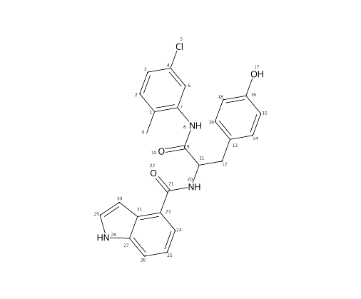 Cc1ccc(Cl)cc1NC(=O)C(Cc1ccc(O)cc1)NC(=O)c1cccc2[nH]ccc12